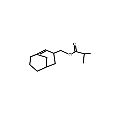 CC(C)C(=O)OCC1C=C2CCCC(C2)C1